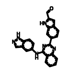 O=Cc1cc2ccc(-c3nc(Nc4ccc5[nH]ncc5c4)c4ccccc4n3)cc2[nH]1